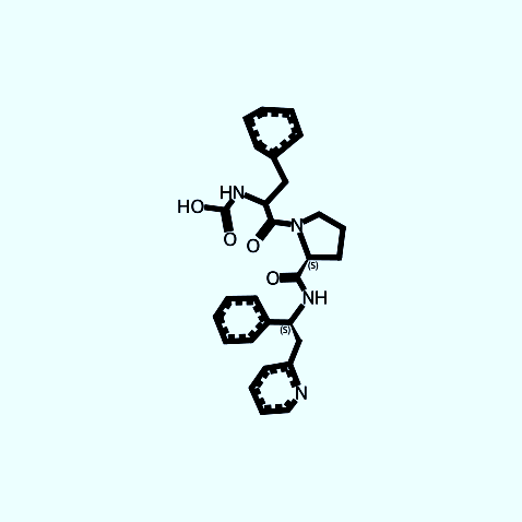 O=C(O)NC(Cc1ccccc1)C(=O)N1CCC[C@H]1C(=O)N[C@@H](Cc1ccccn1)c1ccccc1